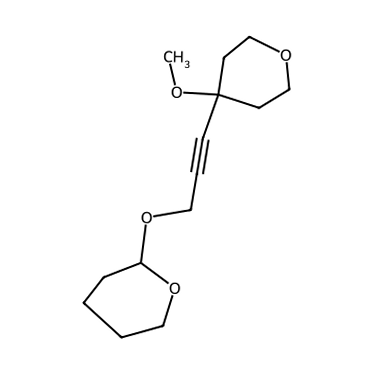 COC1(C#CCOC2CCCCO2)CCOCC1